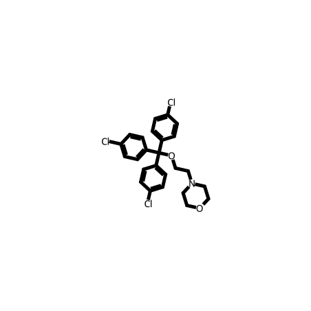 Clc1ccc(C(OCCN2CCOCC2)(c2ccc(Cl)cc2)c2ccc(Cl)cc2)cc1